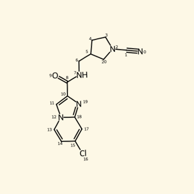 N#CN1CCC(CNC(=O)c2cn3ccc(Cl)cc3n2)C1